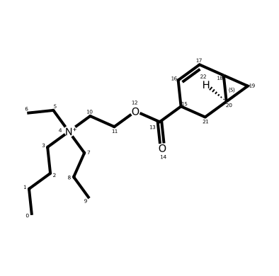 CCCC[N+](CC)(CCC)CCOC(=O)C1C=CC2C[C@H]2C1